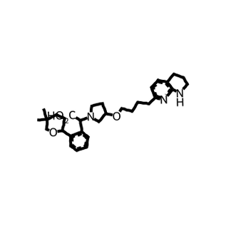 CC1(C)CCC(c2ccccc2C(C(=O)O)N2CCC(OCCCCc3ccc4c(n3)NCCC4)C2)OC1